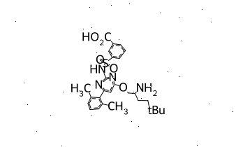 Cc1cccc(C)c1-c1cc(OCC(N)CCC(C)(C)C)nc(NS(=O)(=O)c2cccc(C(=O)O)c2)n1